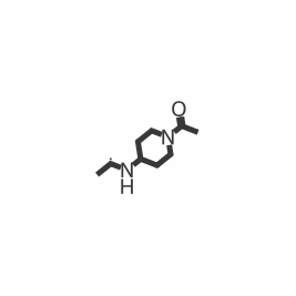 C[CH]NC1CCN(C(C)=O)CC1